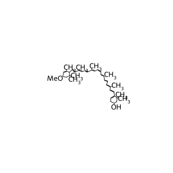 COC1C=C(C)C(/C=C/C(C)=C/C=C/C(C)=C/C=C\C=C(C)\C=C\C=C(C)\C=C\C2=CCC(O)CC2(C)C)C(C)(C)C1